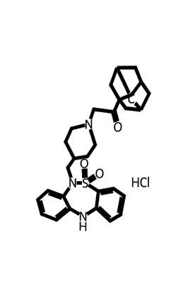 Cl.O=C(CN1CCC(CN2c3ccccc3Nc3ccccc3S2(=O)=O)CC1)C12CC3CC(CC(C3)C1)C2